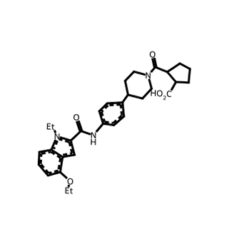 CCOc1cccc2c1cc(C(=O)Nc1ccc(C3CCN(C(=O)C4CCCC4C(=O)O)CC3)cc1)n2CC